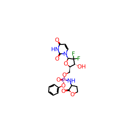 O=C1OCCC1NP(=O)(OC[C@H]1O[C@@H](n2ccc(=O)[nH]c2=O)C(F)(F)[C@@H]1O)Oc1ccccc1